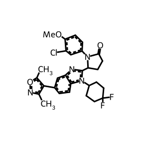 COc1ccc(N2C(=O)CCC2c2nc3cc(-c4c(C)noc4C)ccc3n2C2CCC(F)(F)CC2)cc1Cl